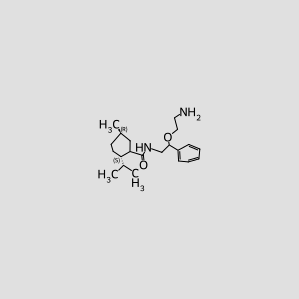 CC(C)[C@@H]1CC[C@@H](C)CC1C(=O)NCC(OCCN)c1ccccc1